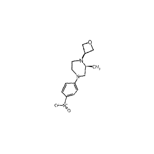 C[C@H]1CN(c2ccc([N+](=O)[O-])cc2)CCN1C1COC1